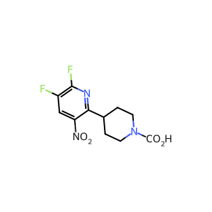 O=C(O)N1CCC(c2nc(F)c(F)cc2[N+](=O)[O-])CC1